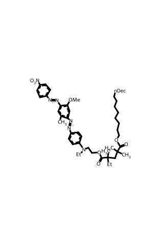 CCCCCCCCCCCCCCCCCCOC(=O)C(C)(C)CC(C)(CC)C(=O)OCCN(CC)c1ccc(/N=N/c2cc(OC)c(/N=N/c3ccc([N+](=O)[O-])cc3)cc2C)cc1